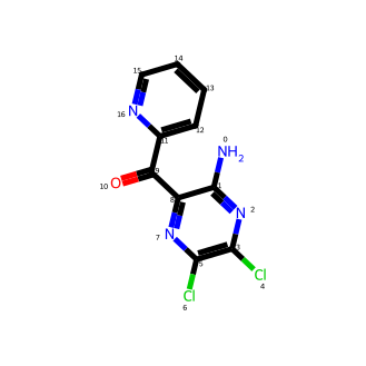 Nc1nc(Cl)c(Cl)nc1C(=O)c1ccccn1